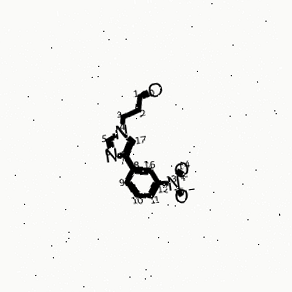 O=CCCn1cnc(-c2cccc([N+](=O)[O-])c2)c1